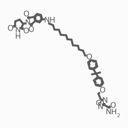 CC(C)(c1ccc(OCCCCCCCCCCCCCNc2ccc3c(c2)C(=O)N(C2CCC(=O)NC2=O)C3=O)cc1)c1ccc(OCc2nc(C(N)=O)no2)cc1